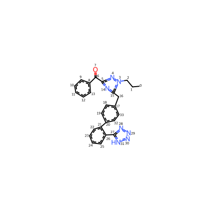 CCCn1nc(C(=O)c2ccccc2)nc1Cc1ccc(-c2ccccc2-c2nnn[nH]2)cc1